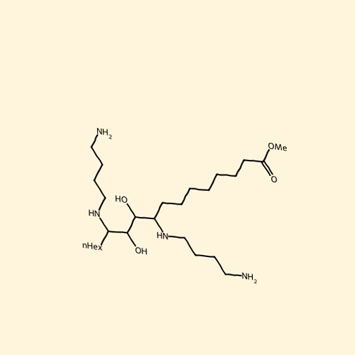 CCCCCCC(NCCCCN)C(O)C(O)C(CCCCCCCC(=O)OC)NCCCCN